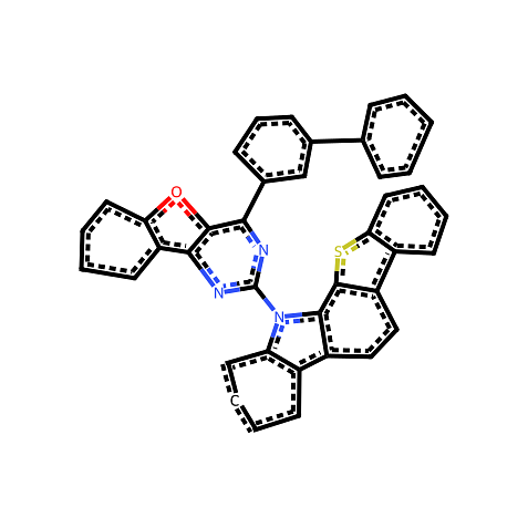 c1ccc(-c2cccc(-c3nc(-n4c5ccccc5c5ccc6c7ccccc7sc6c54)nc4c3oc3ccccc34)c2)cc1